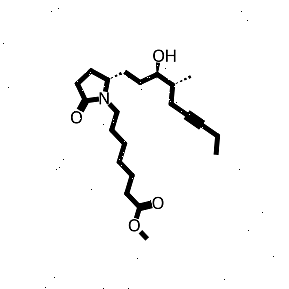 CCC#CC[C@@H](C)[C@H](O)CC[C@H]1CCC(=O)N1CCCCCCC(=O)OC